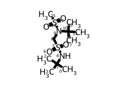 CC(C)(C)NS(=O)(=O)CN(C(C)(C)C)S(C)(=O)=O